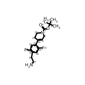 CC(C)(C)OC(=O)N1CC=C(c2cc(F)c(CCN)cc2F)CC1